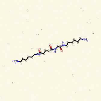 NCCCCCCNC(=O)CCCC(=O)NCC(=O)NCCCCCCN